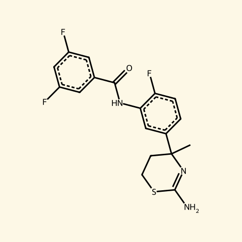 CC1(c2ccc(F)c(NC(=O)c3cc(F)cc(F)c3)c2)CCSC(N)=N1